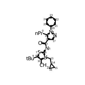 CCCc1c(C(=O)/N=c2\sc(C(C)(C)C)c(C)n2CC2CC2)cnn1-c1ccccc1